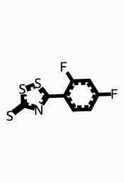 Fc1ccc(-c2nc(=S)ss2)c(F)c1